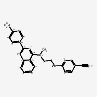 CN(CCNc1ccc(C#N)cn1)c1nc(-c2ccc(N)cc2)nc2ccccc12